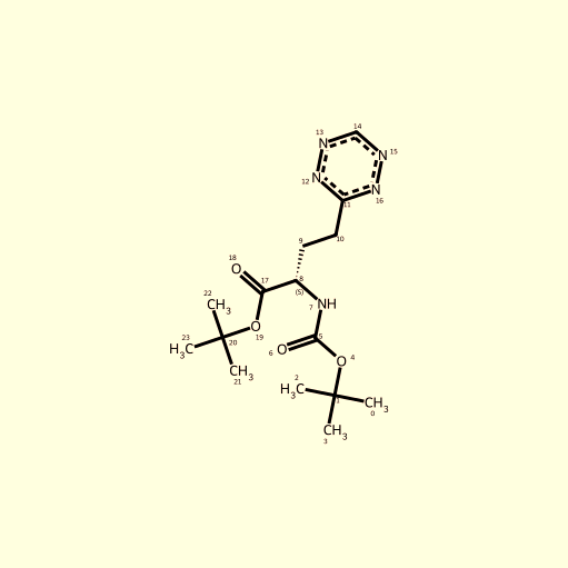 CC(C)(C)OC(=O)N[C@@H](CCc1nncnn1)C(=O)OC(C)(C)C